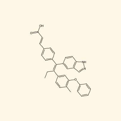 CCC(=C(c1ccc(C=CC(=O)O)cc1)c1ccc2[nH]ncc2c1)c1ccc(C)c(Oc2ccccc2)c1